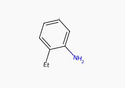 CCc1cc[c]cc1N